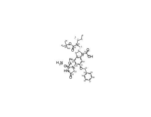 CC[C@@H](C)N(C[C@H]1Cc2c(cc(OCc3ccccc3)c(N3CC(=O)NS3(=O)=O)c2F)N1C(=O)O)C(=O)OC(C)(C)C.N